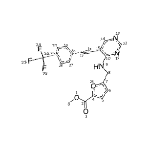 COC(=O)c1ccc(CNc2ncncc2C#Cc2ccc(C(F)(F)F)cc2)o1